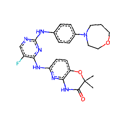 CC1(C)Oc2ccc(Nc3nc(Nc4ccc(N5CCCOCC5)cc4)ncc3F)nc2NC1=O